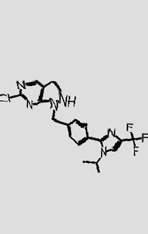 CC(C)n1cc(C(F)(F)F)nc1-c1ccc(CN2NCc3cnc(Cl)nc32)cc1